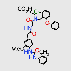 COc1cc(CC(=O)NCC(=O)N(CCC(=O)O)Cc2c(Cl)cccc2Oc2ccccc2)ccc1NC(=O)Nc1ccccc1C